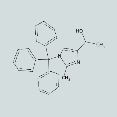 Cc1nc(C(C)O)cn1C(c1ccccc1)(c1ccccc1)c1ccccc1